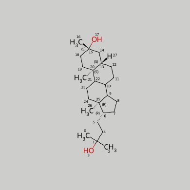 CC(C)(O)CC[C@H]1CCC2C3CC[C@H]4C[C@@](C)(O)CC[C@]4(C)C3CC[C@@]21C